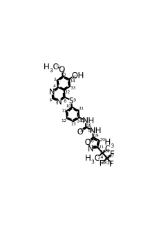 COc1cc2ncnc(Sc3cccc(NC(=O)Nc4cc(C(C)(C)C(F)(F)F)no4)c3)c2cc1O